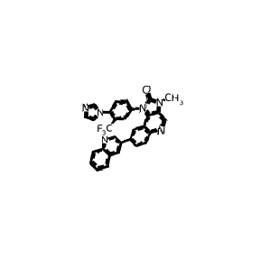 Cn1c(=O)n(-c2ccc(-n3ccnc3)c(C(F)(F)F)c2)c2c3cc(-c4cnc5ccccc5c4)ccc3ncc21